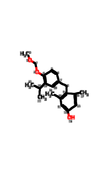 COCOc1ccc(Cc2c(C)cc(O)cc2C)cc1C(C)C